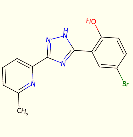 Cc1cccc(-c2n[nH]c(-c3cc(Br)ccc3O)n2)n1